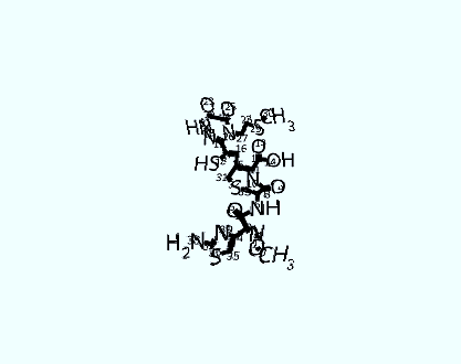 CON=C(C(=O)NC1C(=O)N2C(C(=O)O)=C(C=C(S)c3n[nH]c(=O)c(=O)n3CCSC)CSC12)c1csc(N)n1